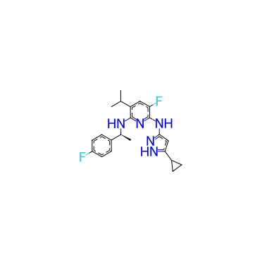 CC(C)c1cc(F)c(Nc2cc(C3CC3)[nH]n2)nc1N[C@@H](C)c1ccc(F)cc1